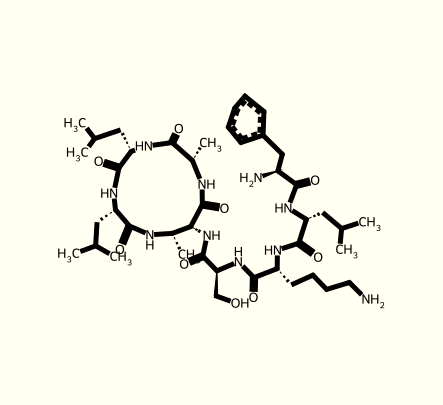 CC(C)C[C@@H]1NC(=O)[C@H](C)NC(=O)[C@H](NC(=O)[C@H](CO)NC(=O)[C@@H](CCCCN)NC(=O)[C@@H](CC(C)C)NC(=O)[C@@H](N)Cc2ccccc2)[C@H](C)NC(=O)[C@H](CC(C)C)NC1=O